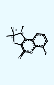 C[C@H]1c2c(c(=O)oc3c(F)cccc23)O[C@@]1(C)C(F)(F)F